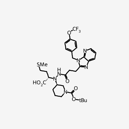 CSCC[C@@H](C(=O)O)N(NC(=O)CCc1nc2cccnc2n1Cc1ccc(OC(F)(F)F)cc1)[C@@H]1CCCN(C(=O)OC(C)(C)C)C1